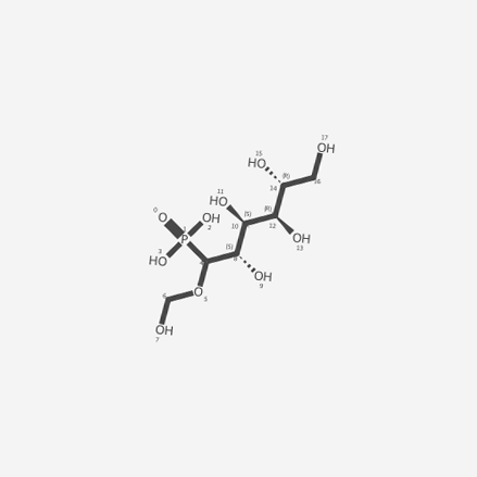 O=P(O)(O)C(OCO)[C@@H](O)[C@@H](O)[C@H](O)[C@H](O)CO